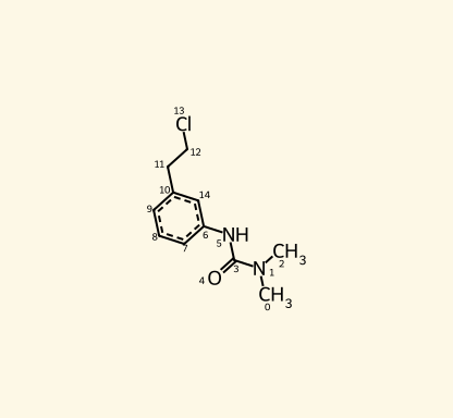 CN(C)C(=O)Nc1cccc(CCCl)c1